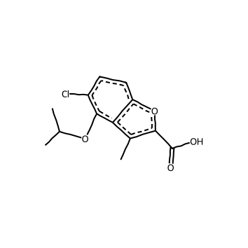 Cc1c(C(=O)O)oc2ccc(Cl)c(OC(C)C)c12